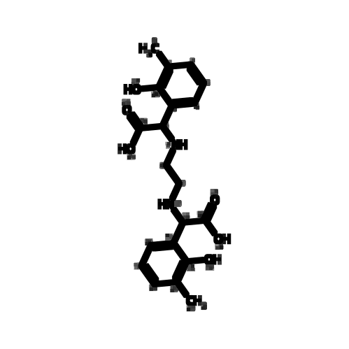 Cc1cccc(C(NCCNC(C(=O)O)c2cccc(C)c2O)C(=O)O)c1O